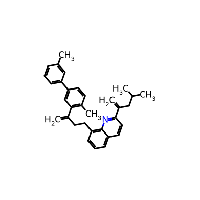 C=C(CC(C)C)c1ccc2cccc(CCC(=C)c3cc(-c4cccc(C)c4)ccc3C)c2n1